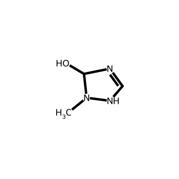 CN1NC=NC1O